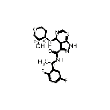 C[C@@H](NC(=O)C1=NNC2=NC=NC(N[C@@H]3CCOC[C@H]3O)C21)C1CC(F)=CC=C1F